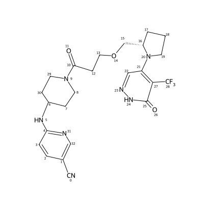 N#Cc1ccc(NC2CCN(C(=O)CCOC[C@@H]3CCCN3c3cn[nH]c(=O)c3C(F)(F)F)CC2)nc1